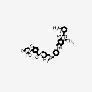 COc1cc2nn([C@H]3CC[C@H](CN(C)CC4CCN(C(=O)c5ccc(Cl)c(N6CCC(=O)NC6=O)c5)CC4)CC3)cc2cc1NC(=O)c1cccc(C)n1